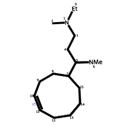 CCN(C)CCC(NC)C1CC/C=C\CCCC1